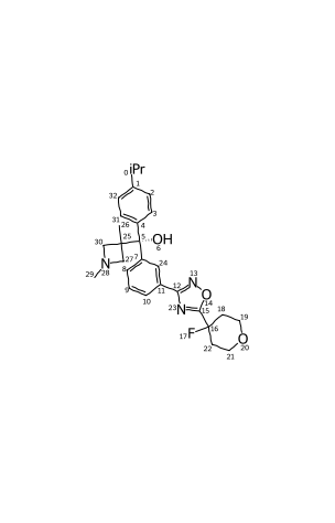 CC(C)c1ccc([C@@](O)(c2cccc(-c3noc(C4(F)CCOCC4)n3)c2)C2(C)CN(C)C2)cc1